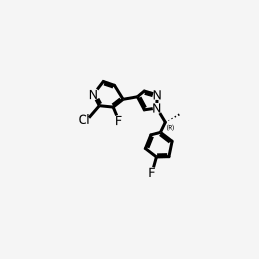 C[C@H](c1ccc(F)cc1)n1cc(-c2ccnc(Cl)c2F)cn1